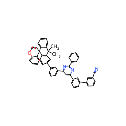 CC1(C)c2ccccc2C2(c3ccccc3Oc3ccccc32)c2ccc(-c3cccc(-c4cc(-c5cccc(-c6cccc(C#N)c6)c5)nc(-c5ccccc5)n4)c3)cc21